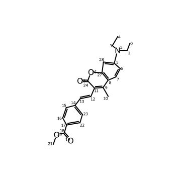 CCN(CC)c1ccc2c(C)c(/C=C/c3ccc(C(=O)OC)cc3)c(=O)oc2c1